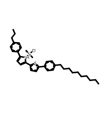 CCCCCCCCCCc1ccc(-c2ccc(C3=CC=C(c4ccc(CCC)cc4)[SH]3[Si](C)(C)Cl)s2)cc1